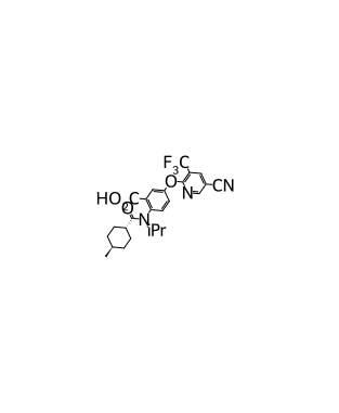 CC(C)N(c1ccc(Oc2ncc(C#N)cc2C(F)(F)F)cc1C(=O)O)C(=O)[C@H]1CC[C@H](C)CC1